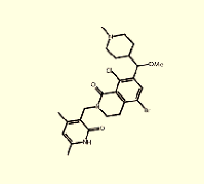 COC(c1cc(Br)c2c(c1Cl)C(=O)N(Cc1c(C)cc(C)[nH]c1=O)CC2)C1CCN(C)CC1